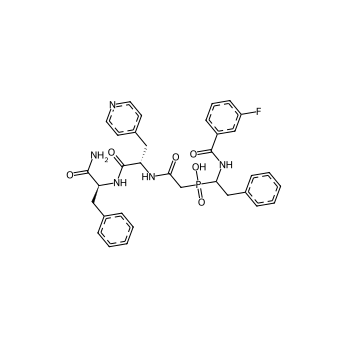 NC(=O)[C@H](Cc1ccccc1)NC(=O)[C@H](Cc1ccncc1)NC(=O)CP(=O)(O)C(Cc1ccccc1)NC(=O)c1cccc(F)c1